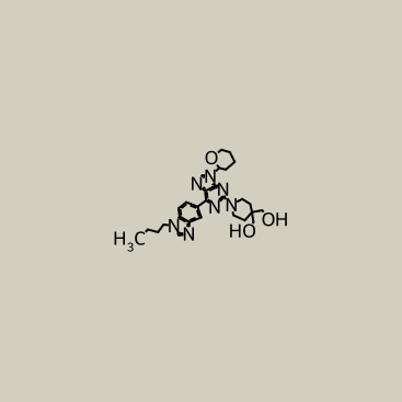 CCCCn1cnc2cc(-c3nc(N4CCC(CO)(CO)CC4)nc4c3ncn4C3CCCCO3)ccc21